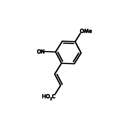 COc1ccc(/C=C/C(=O)O)c(N=O)c1